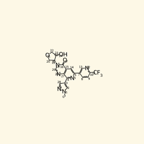 Cn1cc(-c2nc(-c3ccc(C(F)(F)F)nc3)cc3c(=O)n([C@@H]4COC[C@H]4O)cnc23)cn1